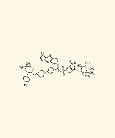 CC1(C)CCC(CN2CCN(c3ccc(C(=O)NS(=O)(=O)c4ccc(NCC5OC(C)(C)C(O)C(O)C5O)c([N+](=O)[O-])c4)c(N4CCOc5nc6[nH]ccc6cc54)c3)CC2)=C(c2ccc(Cl)cc2)C1